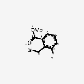 COC(=O)c1cccc(I)c1CBr